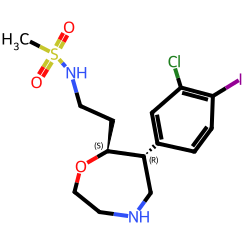 CS(=O)(=O)NCC[C@@H]1OCCNC[C@H]1c1ccc(I)c(Cl)c1